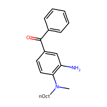 CCCCCCCCN(C)c1ccc(C(=O)c2ccccc2)cc1N